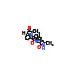 COc1cc(C)[nH]c(=O)c1CNC(=O)c1c(C)n(C(C)C2(C)COC2)c2ccccc12